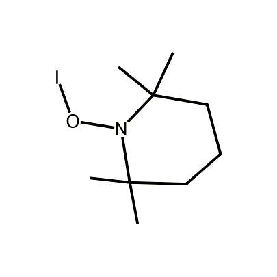 CC1(C)CCCC(C)(C)N1OI